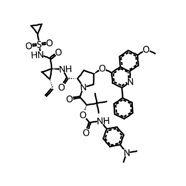 C=C[C@@H]1C[C@]1(NC(=O)[C@@H]1C[C@@H](Oc2cc(-c3ccccc3)nc3cc(OC)ccc23)CN1C(=O)[C@@H](OC(=O)Nc1ccc(N(C)C)cc1)C(C)(C)C)C(=O)NS(=O)(=O)C1CC1